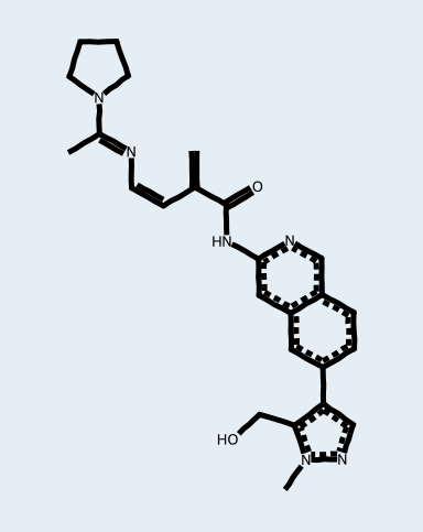 C=C(/C=C\N=C(/C)N1CCCC1)C(=O)Nc1cc2cc(-c3cnn(C)c3CO)ccc2cn1